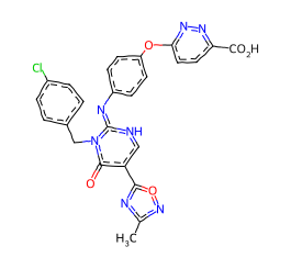 Cc1noc(-c2c[nH]/c(=N\c3ccc(Oc4ccc(C(=O)O)nn4)cc3)n(Cc3ccc(Cl)cc3)c2=O)n1